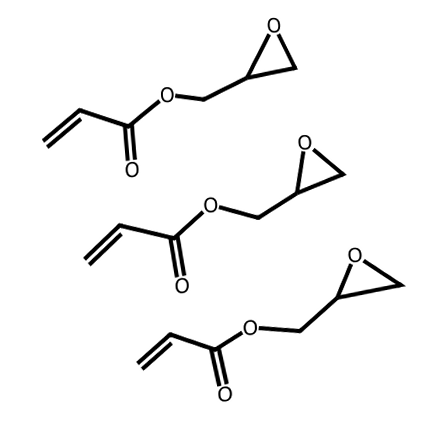 C=CC(=O)OCC1CO1.C=CC(=O)OCC1CO1.C=CC(=O)OCC1CO1